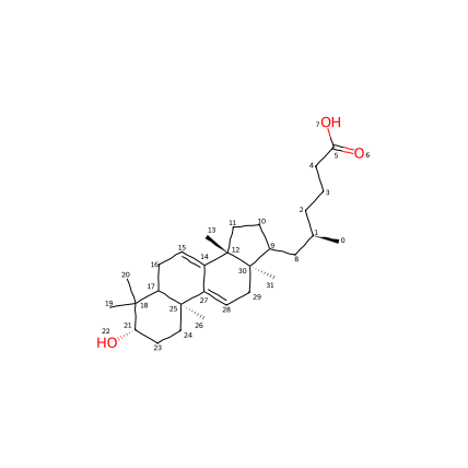 C[C@H](CCCC(=O)O)CC1CC[C@@]2(C)C3=CCC4C(C)(C)[C@@H](O)CC[C@]4(C)C3=CC[C@]12C